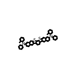 Cc1ccccc1N(c1ccccc1)c1ccc2cc3c(cc2c1)sc1c3ccc2c3cc4ccc(N(c5ccccc5)c5ccccc5C)cc4cc3sc21